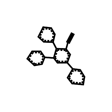 C#Cc1cc(-c2ccccc2)[c]c(-c2ccccc2)c1-c1ccccc1